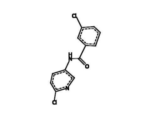 O=C(Nc1ccc(Cl)nc1)c1cccc(Cl)c1